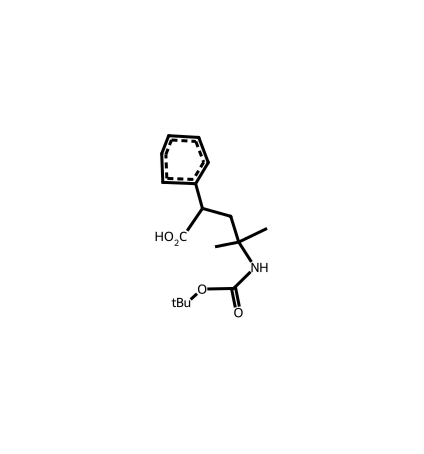 CC(C)(CC(C(=O)O)c1ccccc1)NC(=O)OC(C)(C)C